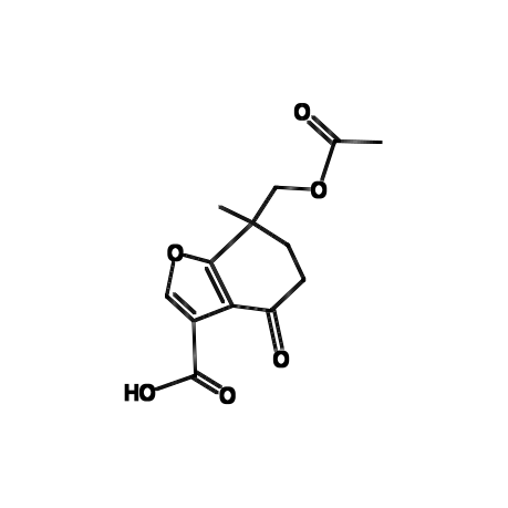 CC(=O)OCC1(C)CCC(=O)c2c(C(=O)O)coc21